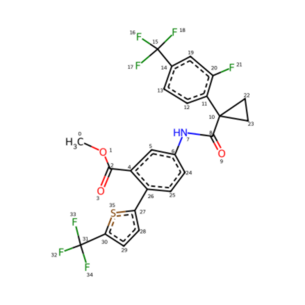 COC(=O)c1cc(NC(=O)C2(c3ccc(C(F)(F)F)cc3F)CC2)ccc1-c1ccc(C(F)(F)F)s1